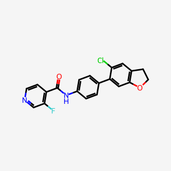 O=C(Nc1ccc(-c2cc3c(cc2Cl)CCO3)cc1)c1ccncc1F